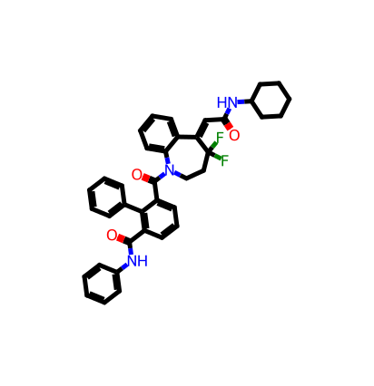 O=C(C=C1c2ccccc2N(C(=O)c2cccc(C(=O)Nc3ccccc3)c2-c2ccccc2)CCC1(F)F)NC1CCCCC1